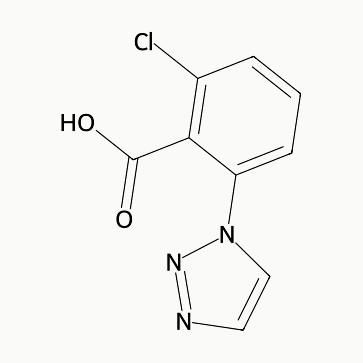 O=C(O)c1c(Cl)cccc1-n1ccnn1